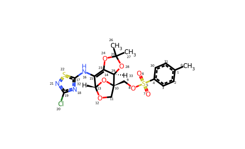 Cc1ccc(S(=O)(=O)OC[C@@]23CO[C@@H](O2)C(Nc2nc(Cl)ns2)=C2OC(C)(C)O[C@H]23)cc1